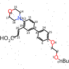 CCCCOCCOc1ccc(-c2ccc(N3CCOCC3)c(C=CC(=O)O)c2)cc1